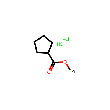 CC(C)OC(=O)C1CCCC1.Cl.Cl